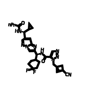 CCCC(=O)N[C@@H](c1cnn2cc([C@@H](NC(=O)c3cnnn3CC34CC(C#N)(C3)C4)C3CCC(F)(F)CC3)nc2c1)C1CC1